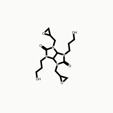 O=C1N(CCCO)C2C(N(CCCO)C(=O)N2CC2CO2)N1CC1CO1